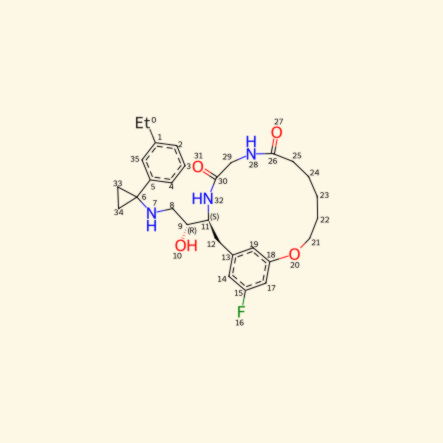 CCc1cccc(C2(NC[C@@H](O)[C@@H]3Cc4cc(F)cc(c4)OCCCCCC(=O)NCC(=O)N3)CC2)c1